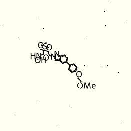 COCCOc1ccc(-c2ccc3nn(CCC(C)(C(=O)NO)S(C)(=O)=O)cc3c2)cc1